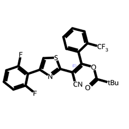 CC(C)(C)C(=O)O/C(=C(\C#N)c1nc(-c2c(F)cccc2F)cs1)c1ccccc1C(F)(F)F